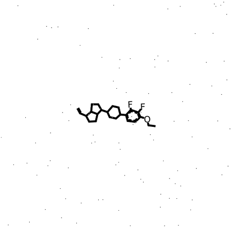 C=CC1CCC2C1CCC2C1CCC(c2ccc(OCC)c(F)c2F)CC1